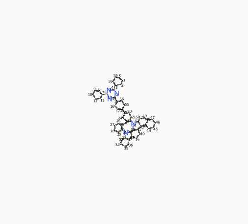 c1ccc(-c2nc(-c3ccccc3)nc(-c3ccc(-c4ccc5c(c4)c4ccccc4n4c6ccccc6c6ccc7c8c9ccccc9ccc8n5c7c64)cc3)n2)cc1